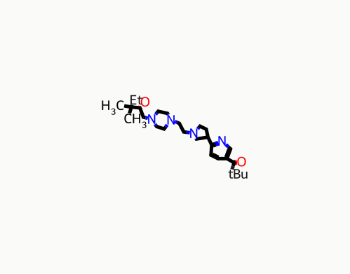 CCC(C)(C)C(=O)CN1CCN(CCN2CCC(c3ccc(C(=O)C(C)(C)C)cn3)C2)CC1